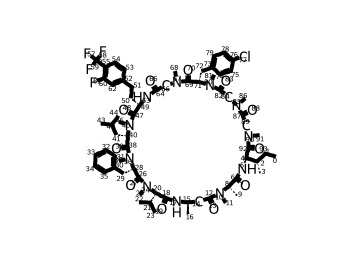 CC[C@H](C)[C@@H]1NC(=O)[C@H](C)N(C)C(=O)C[C@@H](C)NC(=O)[C@H](C(C)C)N(C)C(=O)[C@H](Cc2ccccc2)N(C)C(=O)[C@H](CC(C)C)N(C)C(=O)[C@H](CCc2ccc(C(F)(F)F)c(F)c2)NC(=O)CN(C)C(=O)[C@H](Cc2ccc(Cl)cc2)N(C)C(=O)CN(C)C(=O)CN(C)C1=O